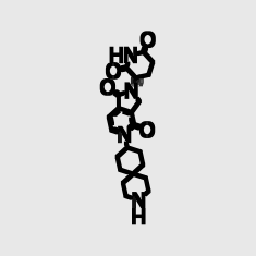 O=C1CC[C@H](N2Cc3c(ccn(C4CCC5(CCNCC5)CC4)c3=O)C2=O)C(=O)N1